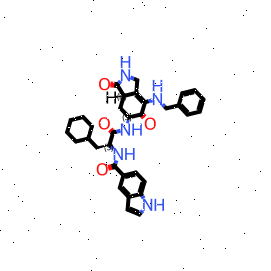 O=C(N[C@@H](CC1CCCCC1)C(=O)N[C@H]1C[C@H]2C(=O)NCC2=C(NCc2ccccc2)C1=O)c1ccc2[nH]ccc2c1